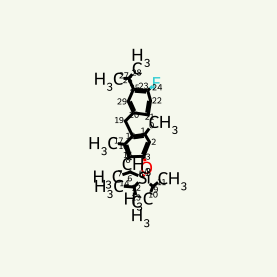 Cc1cc(O[Si](C(C)C)(C(C)C)C(C)C)cc(C)c1Cc1ccc(F)c(C(C)C)c1